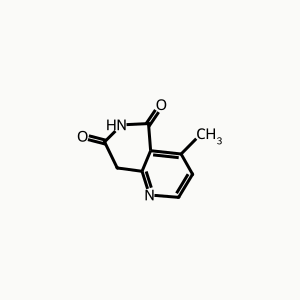 Cc1ccnc2c1C(=O)NC(=O)C2